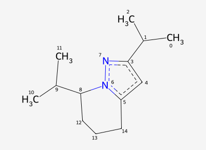 CC(C)c1cc2n(n1)C(C(C)C)CCC2